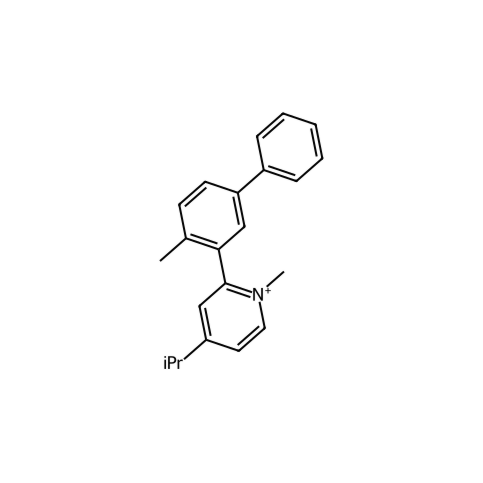 Cc1ccc(-c2ccccc2)cc1-c1cc(C(C)C)cc[n+]1C